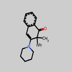 CCCC1(C)C(=O)c2ccccc2C=C1N1CCCCC1